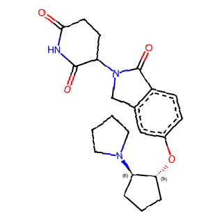 O=C1CCC(N2Cc3cc(O[C@@H]4CCC[C@H]4N4CCCC4)ccc3C2=O)C(=O)N1